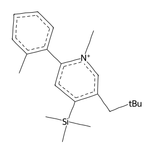 Cc1ccccc1-c1cc([Si](C)(C)C)c(CC(C)(C)C)c[n+]1C